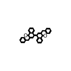 O=C1C(Cc2ccccc2)=C/C(=C2/C=C(Cc3ccccc3)C(=O)c3ccccc32)c2ccccc21